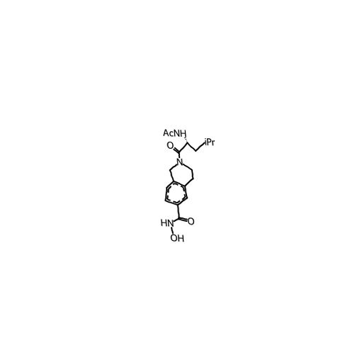 CC(=O)N[C@H](CC(C)C)C(=O)N1CCc2cc(C(=O)NO)ccc2C1